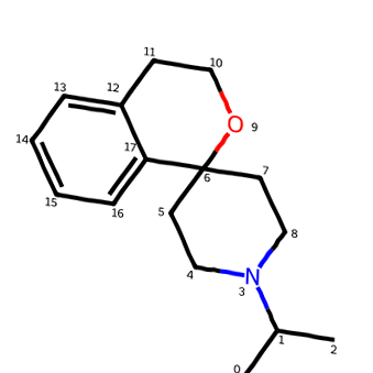 CC(C)N1CCC2(CC1)OCCc1ccccc12